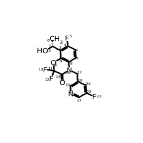 C[C@@H](O)c1c(F)ccc2c1OC(F)(F)C(=O)N2Cc1cncc(F)c1